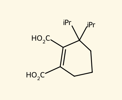 CC(C)C1(C(C)C)CCCC(C(=O)O)=C1C(=O)O